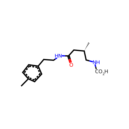 Cc1ccc(CCNC(=O)C[C@H](C)CNC(=O)O)cc1